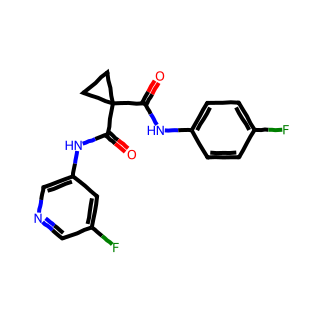 O=C(Nc1ccc(F)cc1)C1(C(=O)Nc2cncc(F)c2)CC1